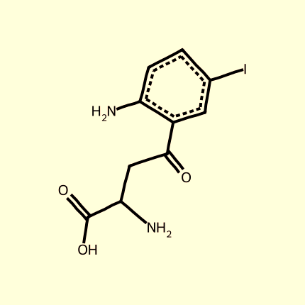 Nc1ccc(I)cc1C(=O)CC(N)C(=O)O